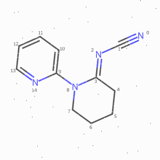 N#CN=C1CCCCN1c1ccccn1